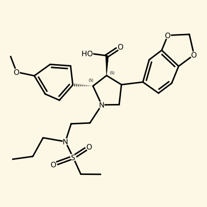 CCCN(CCN1CC(c2ccc3c(c2)OCO3)[C@H](C(=O)O)[C@H]1c1ccc(OC)cc1)S(=O)(=O)CC